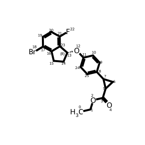 CCOC(=O)C1CC1c1ccc(O[C@@H]2CCc3c(Br)ccc(F)c32)cc1